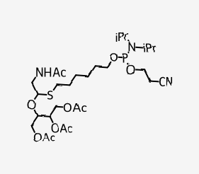 CC(=O)NCC(OC(COC(C)=O)C(COC(C)=O)OC(C)=O)SCCCCCCOP(OCCC#N)N(C(C)C)C(C)C